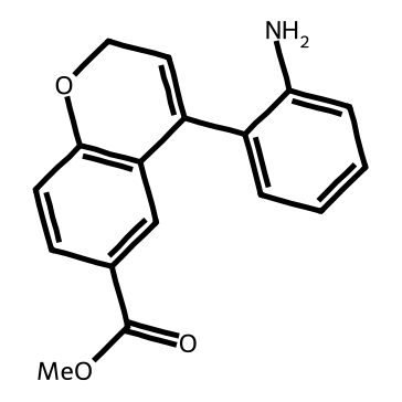 COC(=O)c1ccc2c(c1)C(c1ccccc1N)=CCO2